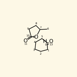 C1CCCCC1.CC1CCC(=O)O1.O